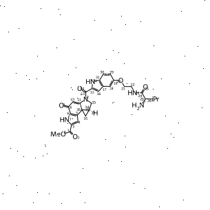 COC(=O)c1cc2c([nH]1)C(=O)C=C1N(C(=O)c3cc4cc(OCCNC(=O)C(N)C(C)C)ccc4[nH]3)C[C@H]3CC123